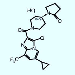 O=C(c1nc2c(C(F)(F)F)cc(C3CC3)cn2c1Cl)N1CC[C@H](N2CCCC2=O)[C@@H](O)C1